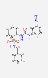 N#Cc1cccc(NC(=O)Nc2ccccc2S(=O)(=O)NCc2ccccc2)c1